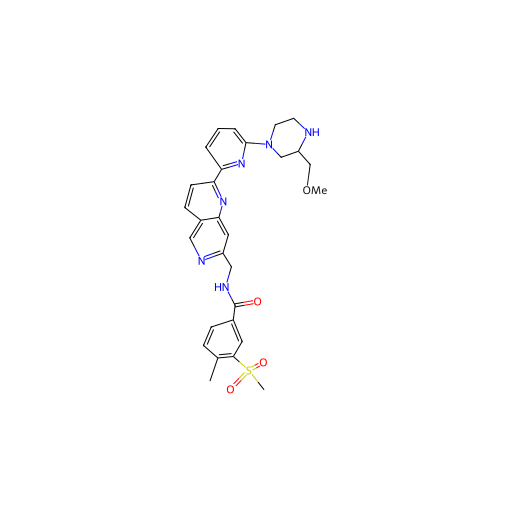 COCC1CN(c2cccc(-c3ccc4cnc(CNC(=O)c5ccc(C)c(S(C)(=O)=O)c5)cc4n3)n2)CCN1